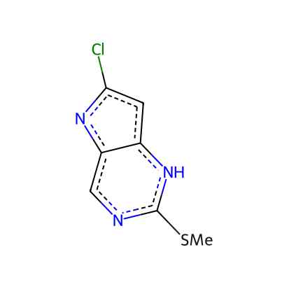 CSc1ncc2nc(Cl)cc-2[nH]1